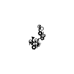 CCC1CC[C@@H](CCOCc2c(-c3ccccc3OC(F)(F)F)noc2C2CC2)N1c1ccc(CC(=O)OC)cn1